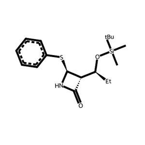 CC[C@H](O[Si](C)(C)C(C)(C)C)[C@@H]1C(=O)N[C@H]1Sc1ccccc1